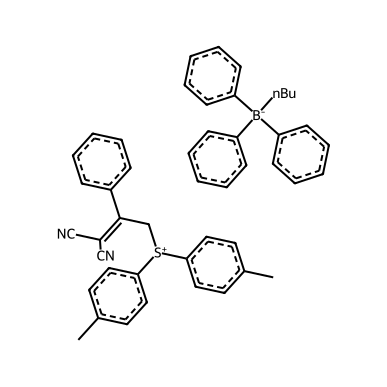 CCCC[B-](c1ccccc1)(c1ccccc1)c1ccccc1.Cc1ccc([S+](CC(=C(C#N)C#N)c2ccccc2)c2ccc(C)cc2)cc1